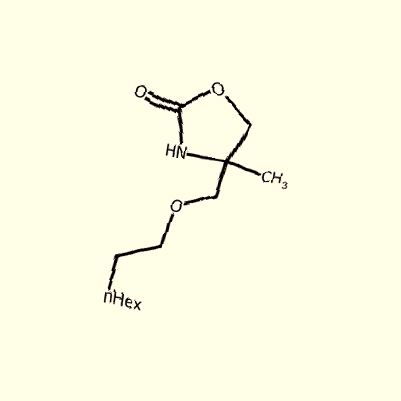 CCCCCCCCOCC1(C)COC(=O)N1